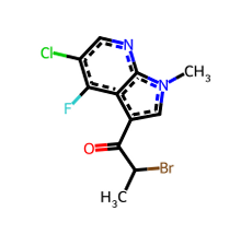 CC(Br)C(=O)c1cn(C)c2ncc(Cl)c(F)c12